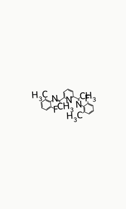 C/C(=N\c1c(C)cccc1F)c1cccc(/C(C)=N/c2c(C)cccc2F)n1